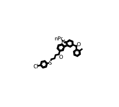 CCCn1c2ccc(C(=O)CCCSc3ccc(Cl)cc3)cc2c2cc(C(=O)c3ccccc3C)ccc21